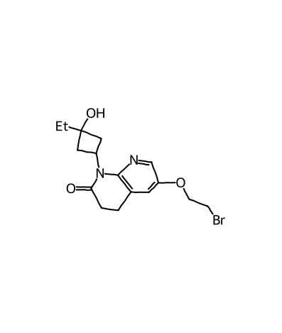 CCC1(O)CC(N2C(=O)CCc3cc(OCCBr)cnc32)C1